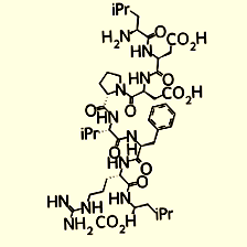 CC(C)C[C@H](NC(=O)[C@H](CCCNC(=N)N)NC(=O)[C@H](Cc1ccccc1)NC(=O)[C@@H](NC(=O)[C@@H]1CCCN1C(=O)[C@H](CC(=O)O)NC(=O)[C@H](CC(=O)O)NC(=O)[C@@H](N)CC(C)C)C(C)C)C(=O)O